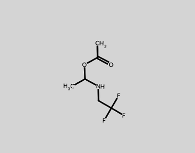 CC(=O)OC(C)NCC(F)(F)F